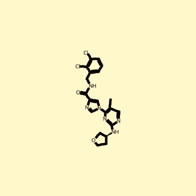 Cc1cnc(N[C@H]2CCOC2)nc1-n1cnc(C(=O)NCc2cccc(Cl)c2Cl)c1